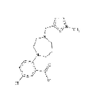 Cn1ccc(CN2CCCN(c3ccc(Cl)cc3[N+](=O)[O-])CC2)n1